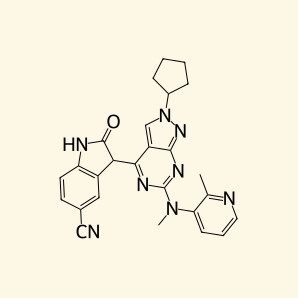 Cc1ncccc1N(C)c1nc(C2C(=O)Nc3ccc(C#N)cc32)c2cn(C3CCCC3)nc2n1